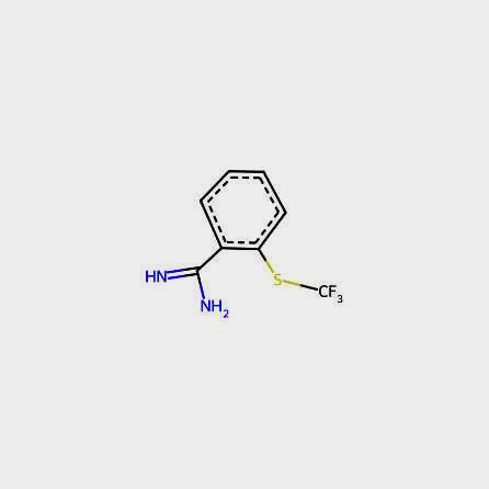 N=C(N)c1ccccc1SC(F)(F)F